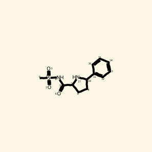 CS(=O)(=O)NC(=O)C1CCC(c2ccccc2)N1